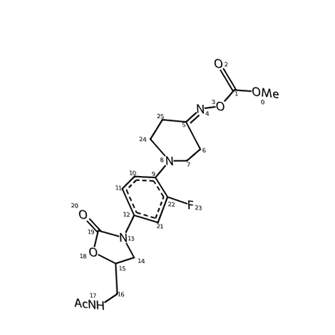 COC(=O)ON=C1CCN(c2ccc(N3CC(CNC(C)=O)OC3=O)cc2F)CC1